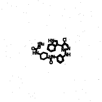 CC(C)(C)OC(=O)NC1CCC(C(=O)Nc2cccc(Nc3ncc(Cl)c(-c4c[nH]c5ccccc45)n3)c2)CC1